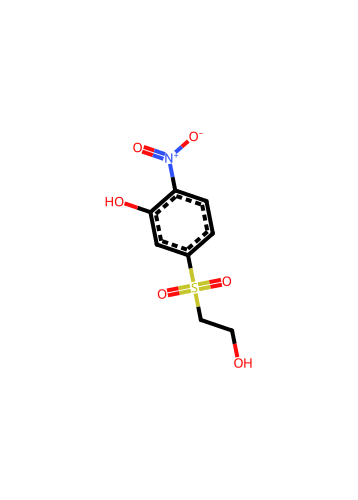 O=[N+]([O-])c1ccc(S(=O)(=O)CCO)cc1O